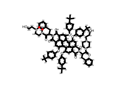 CC(C)(C)c1ccc(Oc2cc3c4c(cc(Oc5ccc(C(C)(C)C)cc5)c5c6c(Oc7ccc(C(C)(C)C)cc7)cc7c8c(cc(Oc9ccc(C(C)(C)C)cc9)c(c2c45)c86)C(=O)N(C(Cc2ccccc2)C(=O)N2CCN(CCO)CC2)C7=O)C(=O)N(C(Cc2ccccc2)C(=O)N2CCN(CCO)CC2)C3=O)cc1